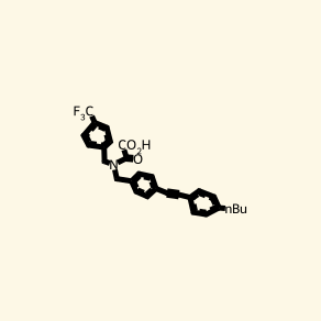 CCCCc1ccc(C#Cc2ccc(CN(Cc3ccc(C(F)(F)F)cc3)C(=O)C(=O)O)cc2)cc1